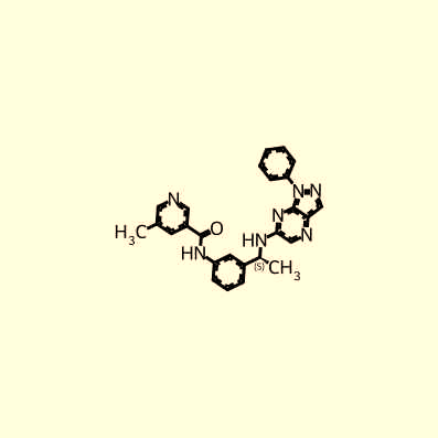 Cc1cncc(C(=O)Nc2cccc([C@H](C)Nc3cnc4cnn(-c5ccccc5)c4n3)c2)c1